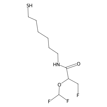 O=C(NCCCCCCS)C(CF)OC(F)F